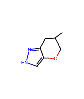 CC1COc2c[nH]nc2C1